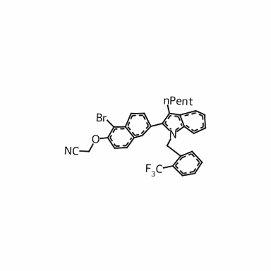 CCCCCc1c(-c2ccc3c(Br)c(OCC#N)ccc3c2)n(Cc2ccccc2C(F)(F)F)c2ccccc12